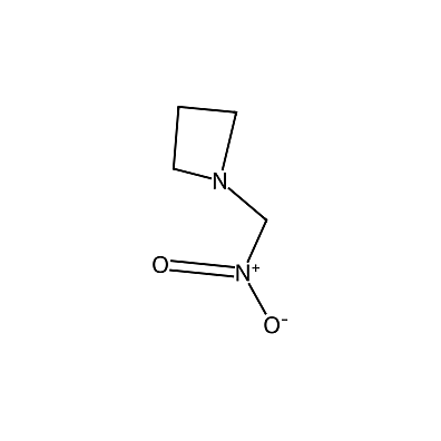 O=[N+]([O-])CN1CCC1